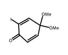 COC1(OC)C=CC(=O)C(I)=C1